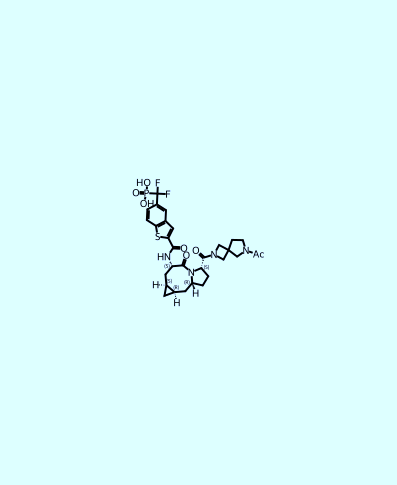 CC(=O)N1CCC2(C1)CN(C(=O)[C@@H]1CC[C@@H]3C[C@H]4C[C@H]4C[C@H](NC(=O)c4cc5cc(C(F)(F)P(=O)(O)O)ccc5s4)C(=O)N31)C2